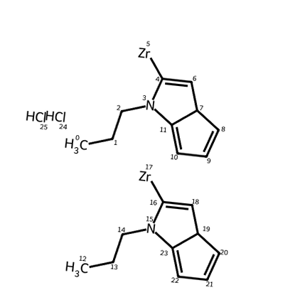 CCCN1[C]([Zr])=CC2C=CC=C21.CCCN1[C]([Zr])=CC2C=CC=C21.Cl.Cl